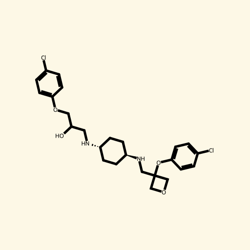 OC(CN[C@H]1CC[C@H](NCC2(Oc3ccc(Cl)cc3)COC2)CC1)COc1ccc(Cl)cc1